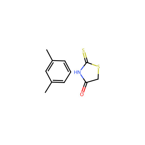 Cc1cccc(C)c1.O=C1CSC(=S)N1